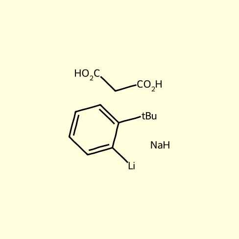 O=C(O)CC(=O)O.[Li][c]1ccccc1C(C)(C)C.[NaH]